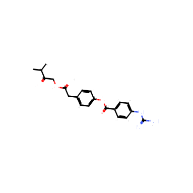 CC(C)C(=O)COC(=O)Cc1ccc(OC(=O)c2ccc(NC(=N)N)cc2)cc1